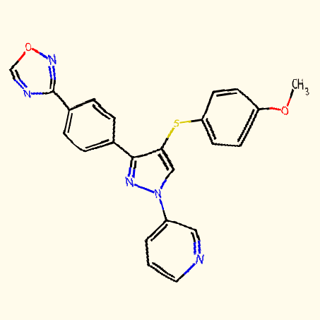 COc1ccc(Sc2cn(-c3cccnc3)nc2-c2ccc(-c3ncon3)cc2)cc1